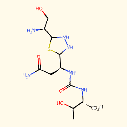 CC(O)[C@H](NC(=O)N[C@@H](CC(N)=O)C1NNC([C@@H](N)CO)S1)C(=O)O